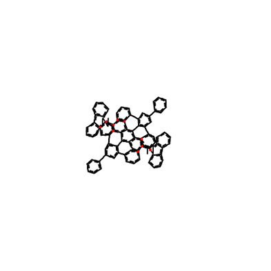 c1ccc(-c2cc(-c3ccccc3)c(-c3c4ccc(-n5c6ccccc6c6ccccc65)cc4c(-c4c(-c5ccccc5)cc(-c5ccccc5)cc4-c4ccccc4)c4ccc(-n5c6ccccc6c6ccccc65)cc34)c(-c3ccccc3)c2)cc1